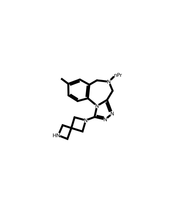 CCCN1Cc2cc(C)ccc2-n2c(nnc2N2CC3(CNC3)C2)C1